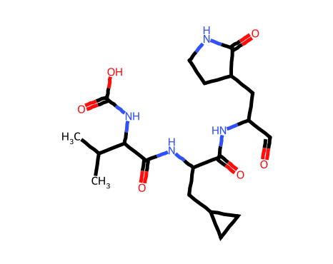 CC(C)C(NC(=O)O)C(=O)NC(CC1CC1)C(=O)NC(C=O)CC1CCNC1=O